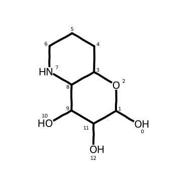 OC1OC2CCCNC2C(O)C1O